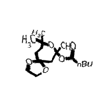 CCCCC(=O)OC1(C)CC2(CC(C)(C)O1)OCCO2